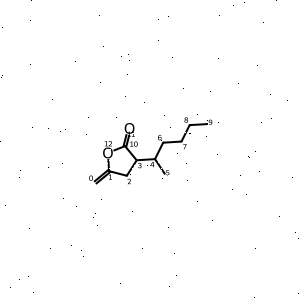 C=C1CC(C(C)CCCC)C(=O)O1